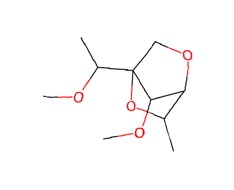 COC(C)C12COC(C(C)O1)C2OC